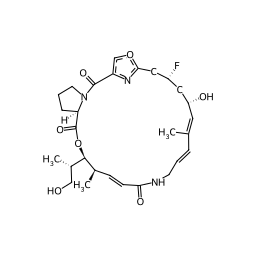 CC1=C\[C@@H](O)C[C@@H](F)Cc2nc(co2)C(=O)N2CCC[C@@H]2C(=O)O[C@H]([C@@H](C)CO)[C@H](C)/C=C/C(=O)NC\C=C\1